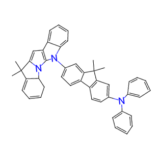 CC1(C)C2=CC=CCC2n2c1cc1c3ccccc3n(-c3ccc4c(c3)C(C)(C)c3cc(N(c5ccccc5)c5ccccc5)ccc3-4)c12